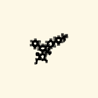 CCOC(=O)C(CC(C)C)c1cc(-c2ccccc2)cc(C2CCN(c3ccc(C(F)(F)F)cc3)CC2)c1C(F)(F)F